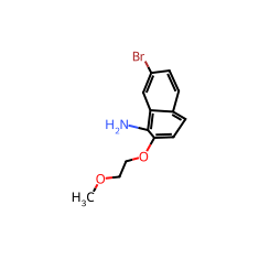 COCCOc1ccc2ccc(Br)cc2c1N